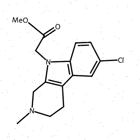 COC(=O)Cn1c2c(c3cc(Cl)ccc31)CCN(C)C2